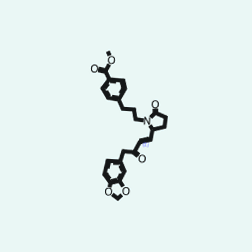 COC(=O)c1ccc(CCCN2C(=O)CCC2/C=C/C(=O)Cc2ccc3c(c2)OCO3)cc1